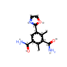 Cc1c(C(N)=O)cc(-c2ncco2)c(C)c1C(N)=O